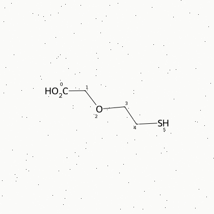 O=C(O)COCCS